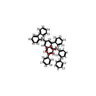 c1ccc(-c2cccc(N(c3cccc(-c4ccccc4)c3)c3ccccc3-c3cc(-n4c5ccccc5c5ccccc54)cc4ccccc34)c2)cc1